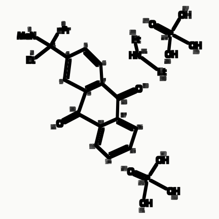 CCCC(CC)(NC)c1ccc2c(c1)C(=O)c1ccccc1C2=O.CCNCC.O=P(O)(O)O.O=P(O)(O)O